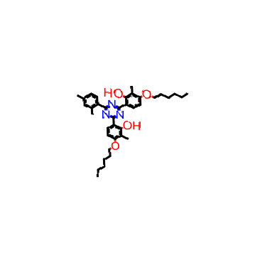 CCCCCCOc1ccc(-c2nc(-c3ccc(C)cc3C)nc(-c3ccc(OCCCCCC)c(C)c3O)n2)c(O)c1C